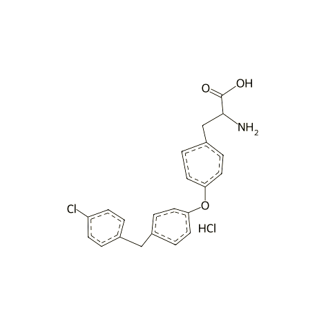 Cl.NC(Cc1ccc(Oc2ccc(Cc3ccc(Cl)cc3)cc2)cc1)C(=O)O